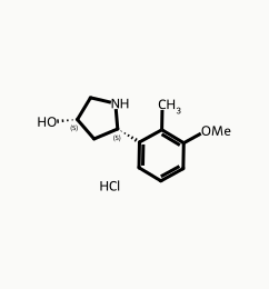 COc1cccc([C@@H]2C[C@H](O)CN2)c1C.Cl